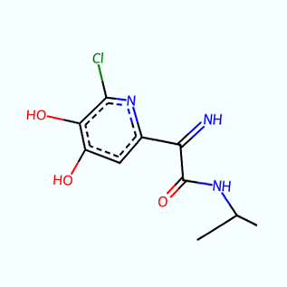 CC(C)NC(=O)C(=N)c1cc(O)c(O)c(Cl)n1